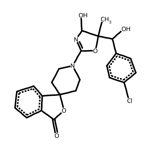 CC1(C(O)c2ccc(Cl)cc2)OC(N2CCC3(CC2)OC(=O)c2ccccc23)=NC1O